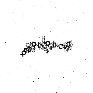 C=CC(=O)Nc1cc(Nc2nc(-c3ccnc(N4CCn5c(cc6c5CC(C)(C)C6)C4=O)c3CO)cn(C)c2=O)ccc1N1CCN(C2CCN(c3ncnc4c3OC[C@@H](C)O4)[C@@H](C)C2)C[C@@H]1C